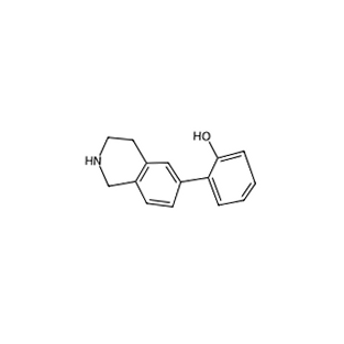 Oc1ccccc1-c1ccc2c(c1)CCNC2